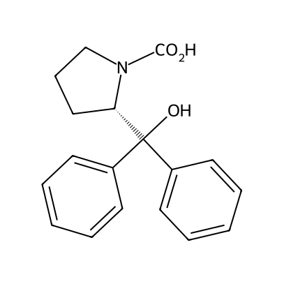 O=C(O)N1CCC[C@H]1C(O)(c1ccccc1)c1ccccc1